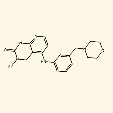 CCN1Cc2c(Nc3cccc(CN4CCOCC4)c3)ccnc2NC1=O